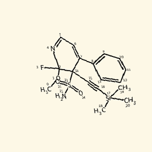 COC1(F)N=CC=C(c2ccccc2)C1(C#C[Si](C)(C)C)S(N)(=O)=O